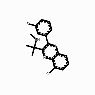 CBC(C)(C)c1nc2c(Cl)cccc2nc1-c1cccc(F)c1